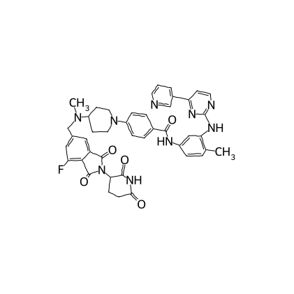 Cc1ccc(NC(=O)c2ccc(N3CCC(N(C)Cc4cc(F)c5c(c4)C(=O)N(C4CCC(=O)NC4=O)C5=O)CC3)cc2)cc1Nc1nccc(-c2cccnc2)n1